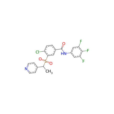 CC(c1ccncc1)S(=O)(=O)c1cc(C(=O)Nc2cc(F)c(F)c(F)c2)ccc1Cl